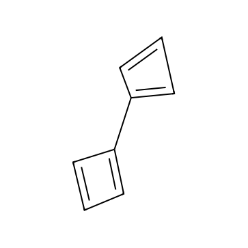 C1=CC(C2=CC=C2)=C1